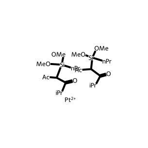 CCC[Si](OC)(OC)C(C(C)=O)C(=O)C(C)C.CCC[Si](OC)(OC)C(C(C)=O)C(=O)C(C)C.[Pt+2]